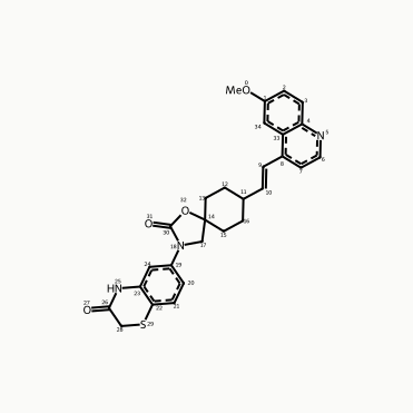 COc1ccc2nccc(C=CC3CCC4(CC3)CN(c3ccc5c(c3)NC(=O)CS5)C(=O)O4)c2c1